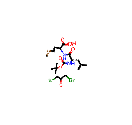 CSCCC(NC(=O)[C@H](CC(C)C)NC(=O)OC(C)(C)C)C(=O)O.O=C(CBr)CBr